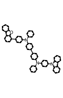 c1ccc(N(c2ccc(-c3ccc(N(c4ccccc4)c4ccc(-n5c6ccccc6c6ccccc65)cc4)cc3)cc2)c2ccc(-c3cccc4c3oc3ccccc34)cc2)cc1